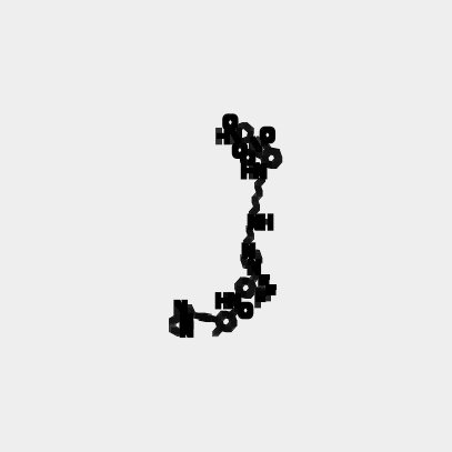 Cc1ccc(C(=O)Nc2ccc(CN3CCN(CCCNCCCCCCNc4cccc5c4C(=O)N(C4CCC(=O)NC4=O)C5=O)CC3)c(C(F)(F)F)c2)cc1C#Cc1cnc2cccnn12